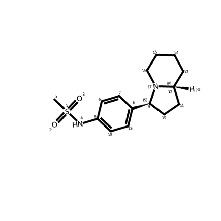 CS(=O)(=O)Nc1ccc([C@@H]2CC[C@H]3CCCCN32)cc1